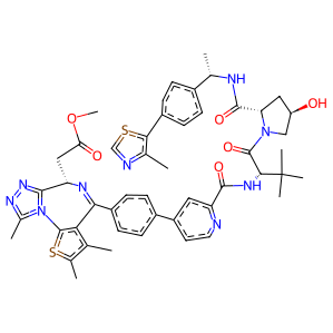 COC(=O)C[C@@H]1N=C(c2ccc(-c3ccnc(C(=O)N[C@H](C(=O)N4C[C@H](O)C[C@H]4C(=O)N[C@@H](C)c4ccc(-c5scnc5C)cc4)C(C)(C)C)c3)cc2)c2c(sc(C)c2C)-n2c(C)nnc21